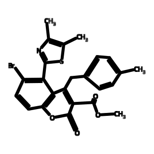 COC(=O)c1c(Cc2ccc(C)cc2)c2c(-c3nc(C)c(C)s3)c(Br)ccc2oc1=O